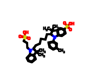 Cc1cccc(N2c3ccc(S(=O)(=O)O)cc3C(C)(C)C2CCCCCC2=[N+](CCCS(=O)(=O)O)c3ccccc3C2(C)C)c1